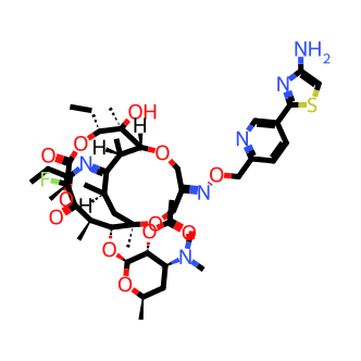 CCC(=O)/N=C1\[C@H](C)C[C@@]2(C)OC/C(=N/OCc3ccc(-c4nc(N)cs4)cn3)CO[C@H]([C@H]1C)[C@](C)(O)[C@@H](CC)OC(=O)[C@@](C)(F)C(=O)[C@H](C)[C@H]2O[C@@H]1O[C@H](C)C[C@H](N(C)C)[C@H]1OC(C)=O